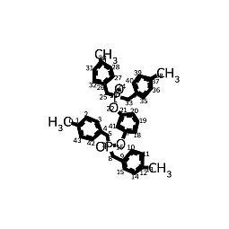 Cc1ccc(CP(=O)(Cc2ccc(C)cc2)Oc2cccc(OP(=O)(Cc3ccc(C)cc3)Cc3ccc(C)cc3)c2)cc1